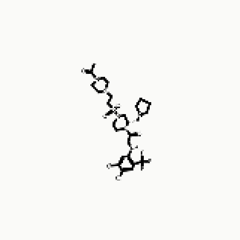 CC(=O)N1CCN(CCS(=O)(=O)N2CCN(C(=O)CNc3cc(Cl)c(Cl)cc3C(F)(F)F)[C@@H](CN3CCCC3)C2)CC1